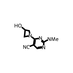 CNc1ncc(C#N)c(N2CC(O)C2)n1